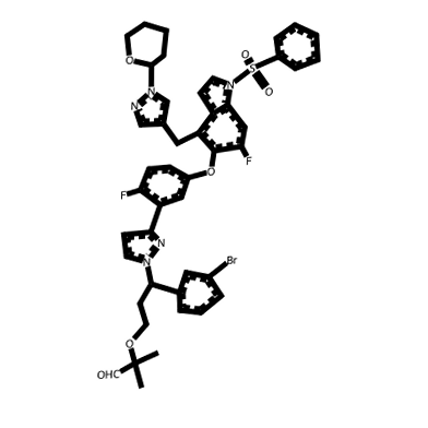 CC(C)(C=O)OCCC(c1cccc(Br)c1)n1ccc(-c2cc(Oc3c(F)cc4c(ccn4S(=O)(=O)c4ccccc4)c3Cc3cnn(C4CCCCO4)c3)ccc2F)n1